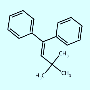 CC(C)(C)C=C(c1ccccc1)c1ccccc1